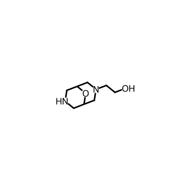 OCCN1CC2CNCC(C1)O2